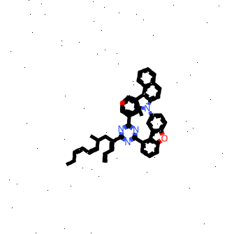 C=C/C=C(\CC(C)/C=C\C=C/CC)c1nc(-c2ccccc2)nc(-c2cccc3oc4ccc(N5c6ccc7ccccc7c6C6C=CC=CC65C)cc4c23)n1